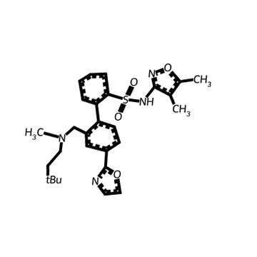 Cc1onc(NS(=O)(=O)c2ccccc2-c2ccc(-c3ncco3)cc2CN(C)CCC(C)(C)C)c1C